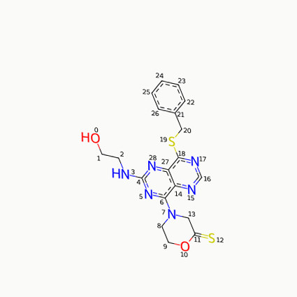 OCCNc1nc(N2CCOC(=S)C2)c2ncnc(SCc3ccccc3)c2n1